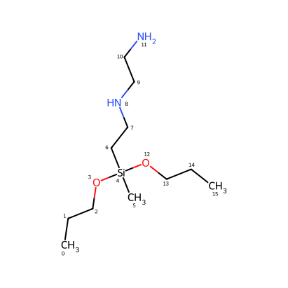 CCCO[Si](C)(CCNCCN)OCCC